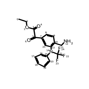 CCOC(=O)C(=O)c1ccc(CN)c(N(c2ccccc2)C(F)(F)F)c1